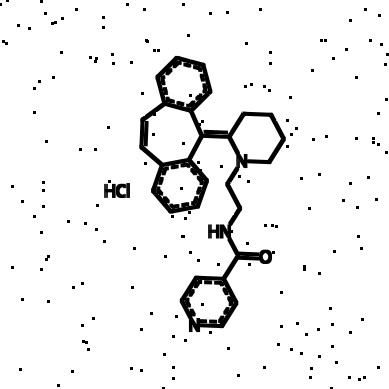 Cl.O=C(NCCN1CCCCC1=C1c2ccccc2C=Cc2ccccc21)c1ccncc1